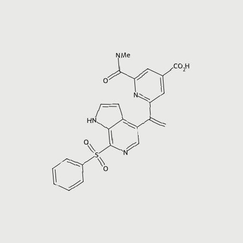 C=C(c1cc(C(=O)O)cc(C(=O)NC)n1)c1cnc(S(=O)(=O)c2ccccc2)c2[nH]ccc12